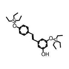 CC[Si](CC)(CC)Oc1ccc(/C=C/c2cc(O)cc(O[Si](CC)(CC)CC)c2)cc1